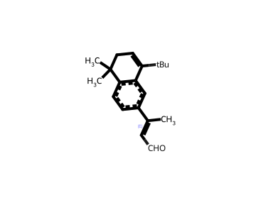 C/C(=C\C=O)c1ccc2c(c1)C(C(C)(C)C)=CCC2(C)C